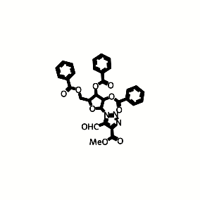 COC(=O)c1nnn(C2OC(COC(=O)c3ccccc3)C(OC(=O)c3ccccc3)C2OC(=O)c2ccccc2)c1C=O